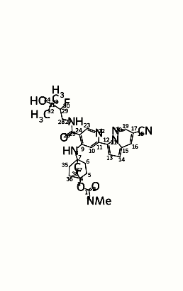 CNC(=O)OC12CCC(Nc3cc(-c4ccc5cc(C#N)cnn45)ncc3C(=O)NCC(F)C(C)(C)O)(CC1)CC2